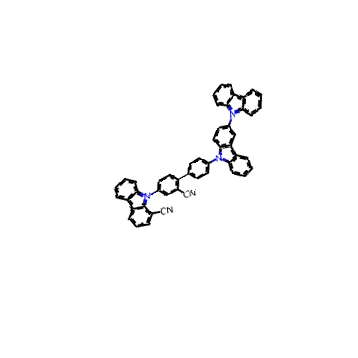 N#Cc1cc(-n2c3ccccc3c3cccc(C#N)c32)ccc1-c1ccc(-n2c3ccccc3c3cc(-n4c5ccccc5c5ccccc54)ccc32)cc1